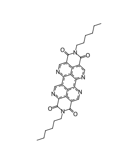 CCCCCCN1C(=O)c2cnc3c4ncc5c6c(cnc(c7cnc(c2c73)C1=O)c64)C(=O)N(CCCCCC)C5=O